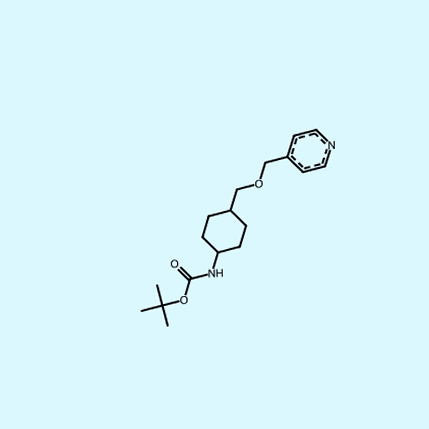 CC(C)(C)OC(=O)NC1CCC(COCc2ccncc2)CC1